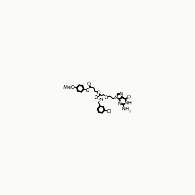 COc1ccc(OC(=O)CCOP(=O)(COCCn2cnc3c(=O)[nH]c(N)nc32)OCc2cccc(Cl)c2)cc1